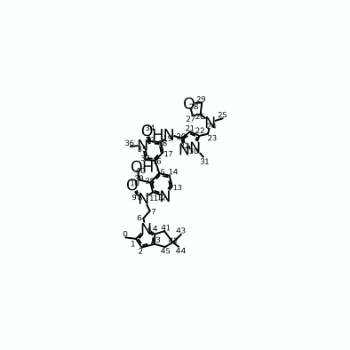 Cc1cc2c(n1CCN(C=O)c1nccc(-c3cc(Nc4cc(CN(C)C5COC5)n(C)n4)c(=O)n(C)c3)c1CO)CC(C)(C)C2